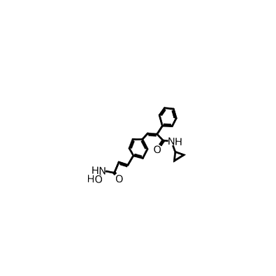 O=C(/C=C/c1ccc(/C=C(\C(=O)NC2CC2)c2ccccc2)cc1)NO